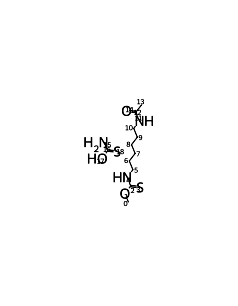 COC(=S)NCCCCCCNC(C)=O.NC(O)=S